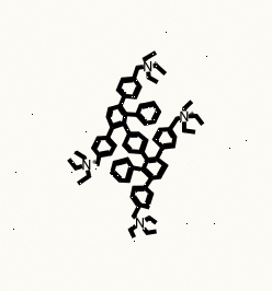 CC[N+](CC)(CC)Cc1ccc(-c2ccc(-c3ccc(C[N+](CC)(CC)CC)cc3)c(-c3ccc(-c4c(-c5ccc(C[N+](CC)(CC)CC)cc5)ccc(-c5ccc(C[N+](CC)(CC)CC)cc5)c4-c4ccccc4)cc3)c2-c2ccccc2)cc1